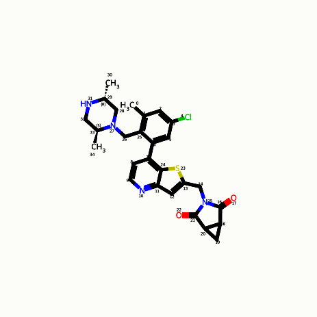 Cc1cc(Cl)cc(-c2ccnc3cc(CN4C(=O)C5CC5C4=O)sc23)c1CN1C[C@@H](C)NC[C@@H]1C